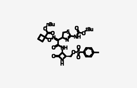 CCCCOC(=O)C1(O/N=C(\C(=O)N[C@@H]2C(=O)N[C@@H]2COS(=O)(=O)c2ccc(C)cc2)C2CSC(NC(=O)OC(C)(C)C)=N2)CCC1